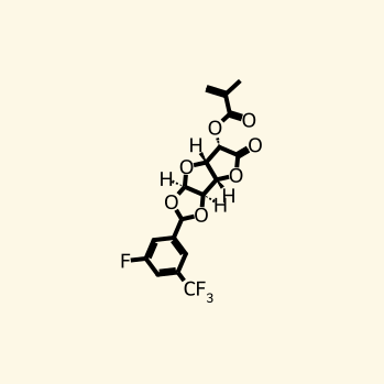 C=C(C)C(=O)O[C@@H]1C(=O)O[C@@H]2[C@H]3OC(c4cc(F)cc(C(F)(F)F)c4)O[C@H]3O[C@@H]21